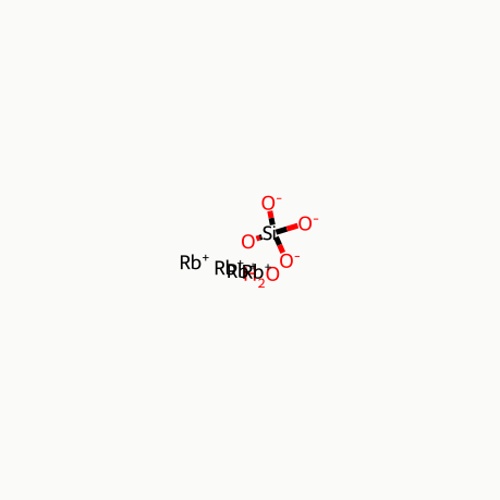 O.[O-][Si]([O-])([O-])[O-].[Rb+].[Rb+].[Rb+].[Rb+]